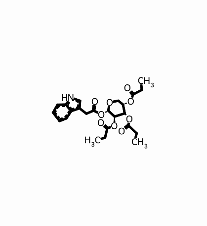 CCC(=O)O[C@@H]1[C@@H](OC(=O)CC)[C@H](OC(=O)Cc2c[nH]c3ccccc23)OC[C@@H]1OC(=O)CC